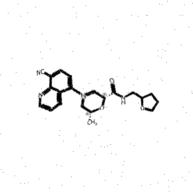 C[C@@H]1CN(c2ccc(C#N)c3ncccc23)C[C@H](C(=O)NCC2CCCO2)O1